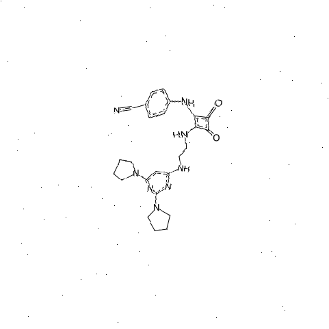 N#Cc1ccc(Nc2c(NCCNc3cc(N4CCCC4)nc(N4CCCC4)n3)c(=O)c2=O)cc1